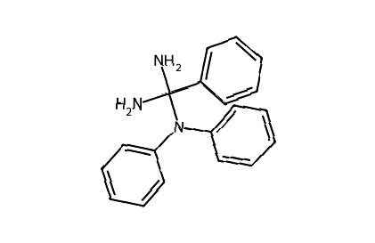 NC(N)(c1ccccc1)N(c1ccccc1)c1ccccc1